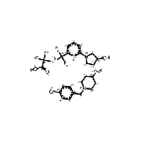 O=C(O)C(F)(F)F.O[C@@H]1CN(c2cccc(C(F)(F)F)n2)C[C@H]1NC1CCN(Cc2ccc(Cl)cc2)CC1